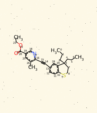 CCCC1(CCC)CCSc2ccc(C#Cc3ncc(C(=O)OCC)cc3C)cc21